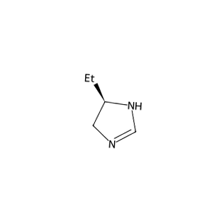 CC[C@@H]1CN=CN1